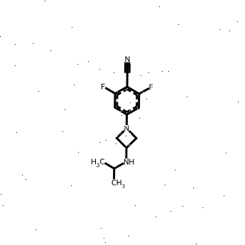 CC(C)NC1CN(c2cc(F)c(C#N)c(F)c2)C1